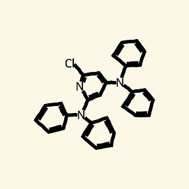 Clc1cc(N(c2ccccc2)c2ccccc2)cc(N(c2ccccc2)c2ccccc2)n1